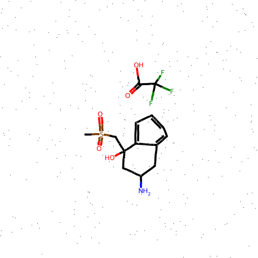 CS(=O)(=O)CC1(O)CC(N)Cc2ccccc21.O=C(O)C(F)(F)F